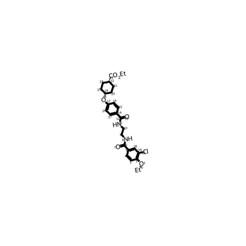 CCOc1ccc(C(=O)NCCNC(=O)c2ccc(O[C@H]3CC[C@@H](C(=O)OCC)CC3)cc2)cc1Cl